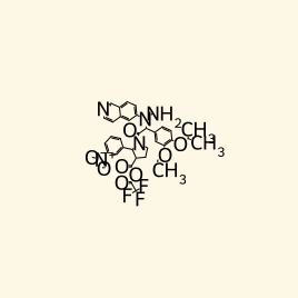 CCOc1cc(C(C(=O)N2CCC(C(=O)OC(=O)C(F)(F)F)C2c2cccc([N+](=O)[O-])c2)N(N)c2ccc3cnccc3c2)ccc1OC(C)C